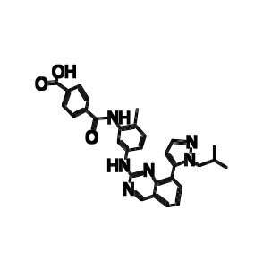 Cc1ccc(Nc2ncc3cccc(-c4ccnn4CC(C)C)c3n2)cc1NC(=O)c1ccc(C(=O)O)cc1